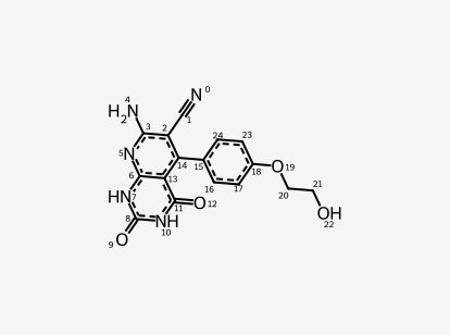 N#Cc1c(N)nc2[nH]c(=O)[nH]c(=O)c2c1-c1ccc(OCCO)cc1